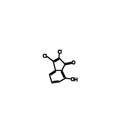 O=C1C(Cl)=C(Cl)c2cccc(O)c21